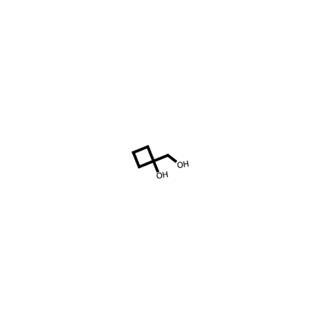 OCC1(O)CCC1